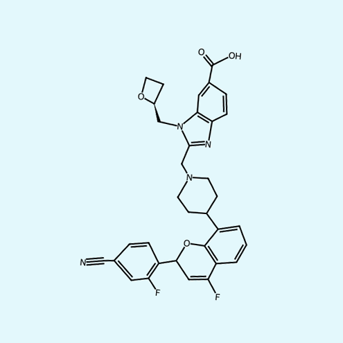 N#Cc1ccc(C2C=C(F)c3cccc(C4CCN(Cc5nc6ccc(C(=O)O)cc6n5C[C@@H]5CCO5)CC4)c3O2)c(F)c1